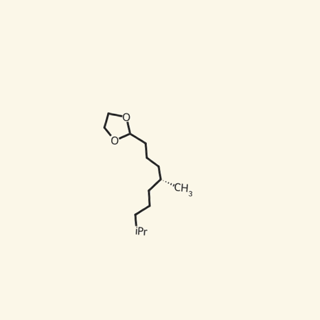 CC(C)CCC[C@@H](C)CCCC1OCCO1